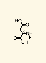 O=C(O)C[C@@H](NF)C(=O)O